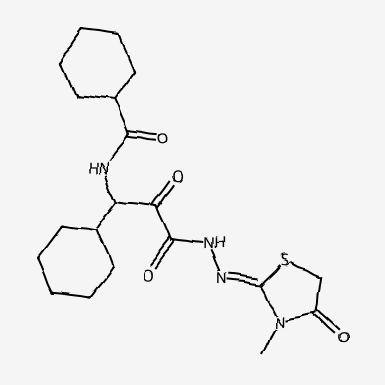 CN1C(=O)CSC1=NNC(=O)C(=O)C(NC(=O)C1CCCCC1)C1CCCCC1